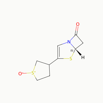 O=C1C[C@@H]2SC(C3CC[S+]([O-])C3)=CN12